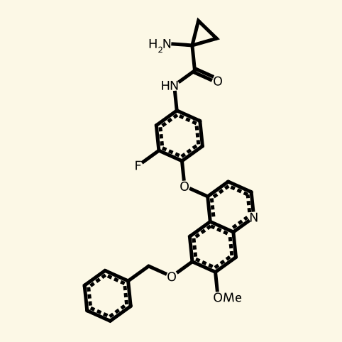 COc1cc2nccc(Oc3ccc(NC(=O)C4(N)CC4)cc3F)c2cc1OCc1ccccc1